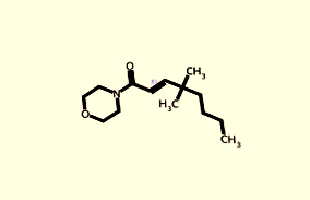 CCCCC(C)(C)/C=C/C(=O)N1CCOCC1